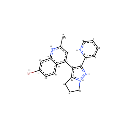 CC(C)c1cc(-c2c(-c3ccccn3)nn3c2CCC3)c2ccc(Br)cc2n1